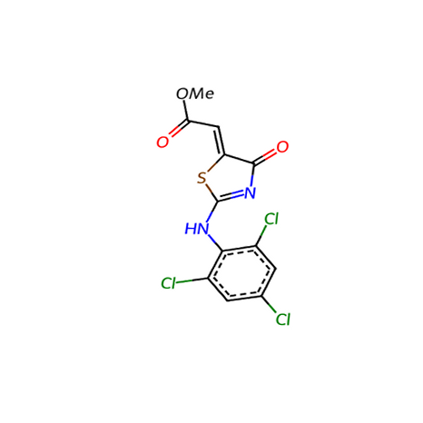 COC(=O)/C=C1\SC(Nc2c(Cl)cc(Cl)cc2Cl)=NC1=O